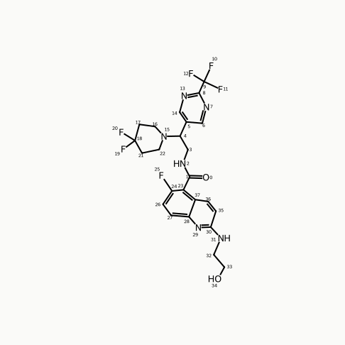 O=C(NCC(c1cnc(C(F)(F)F)nc1)N1CCC(F)(F)CC1)c1c(F)ccc2nc(NCCO)ccc12